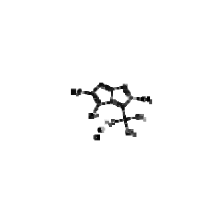 CC1=NC2=CC(C)=[C]([Zr+2])C2=C1C(C)(C)C.[Cl-].[Cl-]